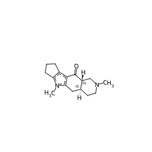 CN1CC[C@H]2Cc3c(c4c(n3C)CCC4)C(=O)[C@@H]2C1